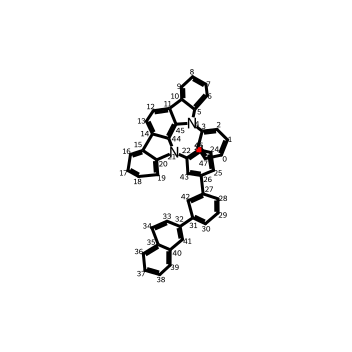 c1ccc(-n2c3ccccc3c3ccc4c5ccccc5n(-c5cccc(-c6cccc(-c7ccc8ccccc8c7)c6)c5)c4c32)cc1